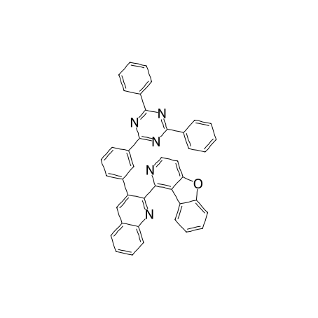 c1ccc(-c2nc(-c3ccccc3)nc(-c3cccc(-c4cc5ccccc5nc4-c4nccc5oc6ccccc6c45)c3)n2)cc1